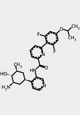 CC(C)Oc1cc(F)c(-c2cccc(C(=O)Nc3cnccc3[C@H]3C[C@@H](N)[C@H](O)[C@@H](C)C3)n2)c(F)c1